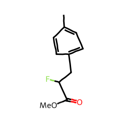 COC(=O)C(F)Cc1ccc(C)cc1